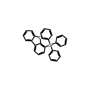 c1ccc([Si](c2ccccc2)(c2ccccc2)c2cccc3c2oc2ccccc23)cc1